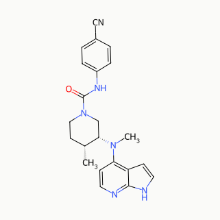 C[C@@H]1CCN(C(=O)Nc2ccc(C#N)cc2)C[C@@H]1N(C)c1ccnc2[nH]ccc12